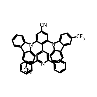 N#Cc1cc(-n2c3ccccc3c3cc(C(F)(F)F)ccc32)c(-c2cc(-c3ccccc3)nc(-c3ccccc3)c2)c(-n2c3ccccc3c3cc(C(F)(F)F)ccc32)c1